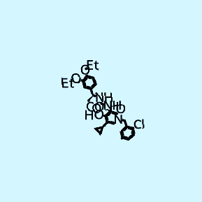 CCOc1ccc([C@H](CC(=O)O)NC(=O)Nc2c(O)c(C3CC3)cn(Cc3ccccc3Cl)c2=O)cc1OCC